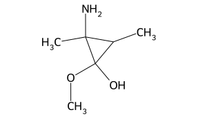 COC1(O)C(C)C1(C)N